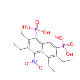 CCc1c(CC)c([N+](=O)[O-])c2c(CC)c(CC)c(P(=O)(O)O)cc2c1P(=O)(O)O